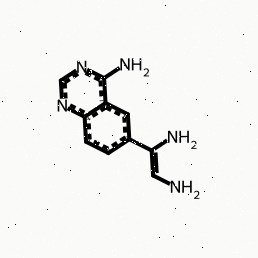 N/C=C(\N)c1ccc2ncnc(N)c2c1